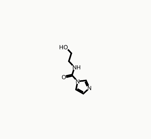 O=C(NCCO)n1ccnc1